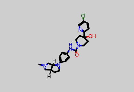 CN1C[C@H]2CCN(c3ccc(NC(=O)N4CCC(O)(c5ccc(Cl)cn5)CC4)cc3)[C@H]2C1